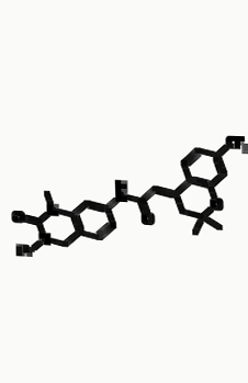 CC(C)N1Cc2ccc(NC(=O)/C=C3\CC(C)(C)Oc4cc(C(F)(F)F)ccc43)cc2N(C)C1=O